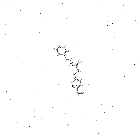 COc1ccc(COC(=O)OCCc2cccnc2)cc1